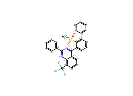 CS(=O)(=O)c1c(-c2ccccc2)cccc1-c1nc(-c2ccccc2)nc2c(C(F)(F)F)cccc12